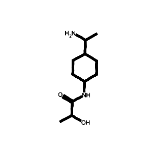 CC(O)C(=O)NC1CCC(C(C)N)CC1